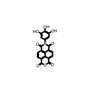 O=C1OC(=O)c2ccc3c4c(ccc1c24)C(=O)N(c1cc(O)c(O)c(O)c1)C3=O